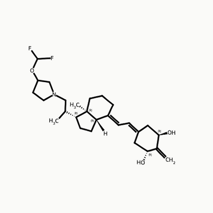 C=C1[C@H](O)CC(=CC=C2CCC[C@]3(C)[C@@H](C(C)CN4CCC(OC(F)F)C4)CC[C@@H]23)C[C@H]1O